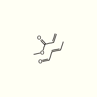 C=CC(=O)OC.CC=CC=O